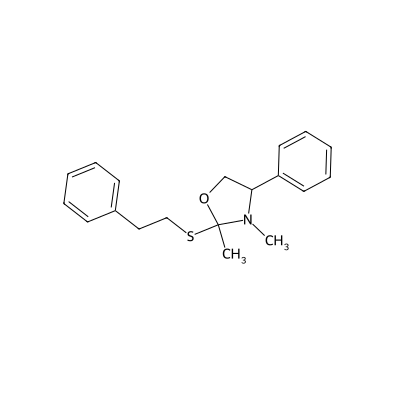 CN1C(c2ccccc2)COC1(C)SCCc1ccccc1